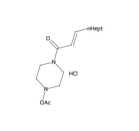 CCCCCCC/C=C/C(=O)N1CCN(OC(C)=O)CC1.Cl